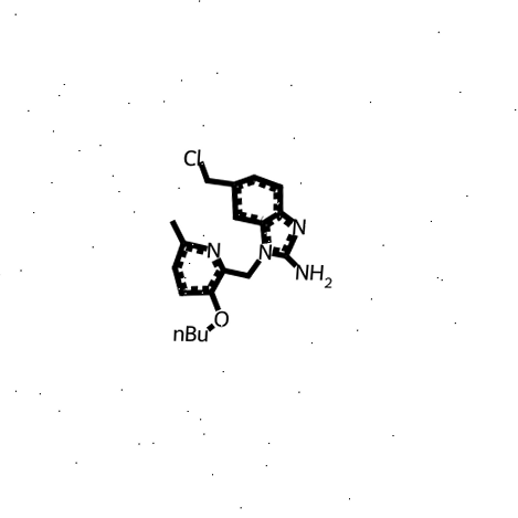 CCCCOc1ccc(C)nc1Cn1c(N)nc2ccc(CCl)cc21